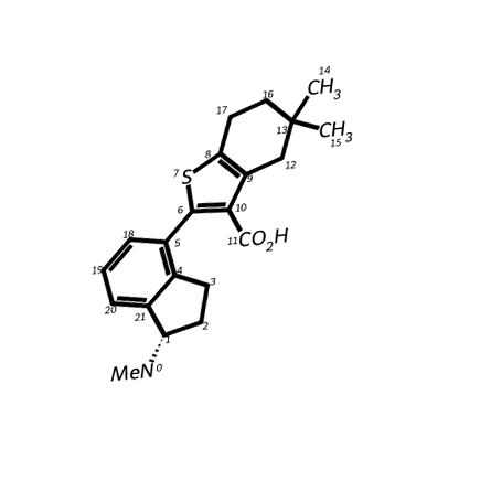 CN[C@H]1CCc2c(-c3sc4c(c3C(=O)O)CC(C)(C)CC4)cccc21